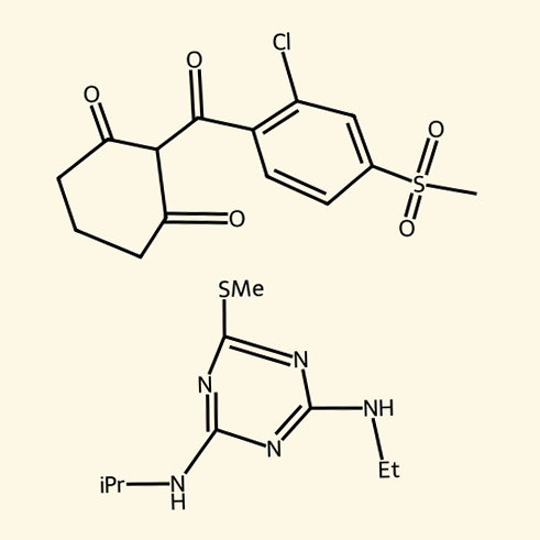 CCNc1nc(NC(C)C)nc(SC)n1.CS(=O)(=O)c1ccc(C(=O)C2C(=O)CCCC2=O)c(Cl)c1